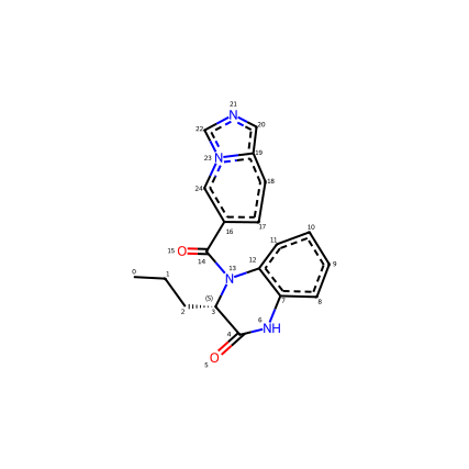 CCC[C@H]1C(=O)Nc2ccccc2N1C(=O)c1ccc2cncn2c1